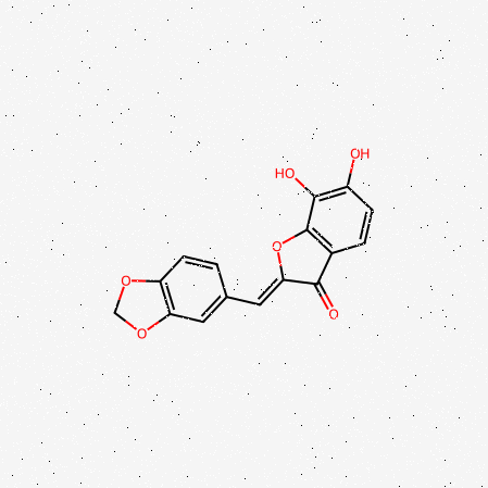 O=C1/C(=C/c2ccc3c(c2)OCO3)Oc2c1ccc(O)c2O